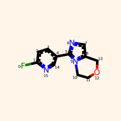 Fc1ccc(-c2ncc3n2CCOC3)cn1